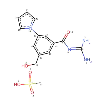 CS(=O)(=O)O.NC(N)=NC(=O)c1cc(CO)cc(-n2cccc2)c1